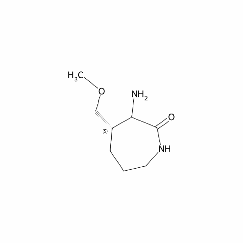 COC[C@H]1CCCNC(=O)C1N